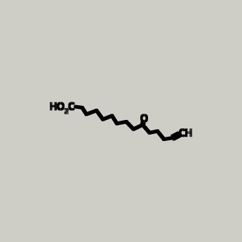 C#CCCCC(=O)CCCCCCCCC(=O)O